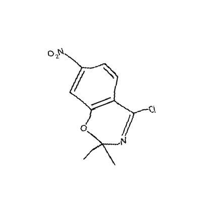 CC1(C)N=C(Cl)c2ccc([N+](=O)[O-])cc2O1